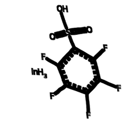 O=S(=O)(O)c1c(F)c(F)c(F)c(F)c1F.[InH3]